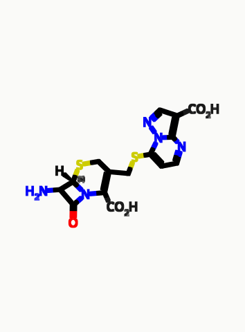 NC1C(=O)N2C(C(=O)O)=C(CSc3ccnc4c(C(=O)O)cnn34)CS[C@@H]12